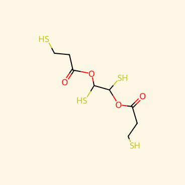 O=C(CCS)OC(S)C(S)OC(=O)CCS